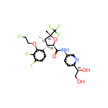 C[C@H]1[C@@H](c2ccc(F)c(F)c2OCCF)[C@H](C(=O)Nc2ccc([C@@H](O)CO)nc2)O[C@@]1(C)C(F)(F)F